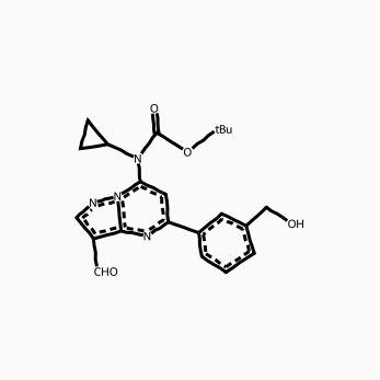 CC(C)(C)OC(=O)N(c1cc(-c2cccc(CO)c2)nc2c(C=O)cnn12)C1CC1